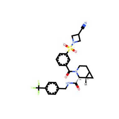 N#CC1CN(S(=O)(=O)c2cccc(C(=O)N3CCC4C[C@@H]4[C@@H]3C(=O)NCc3ccc(C(F)(F)F)cc3)c2)C1